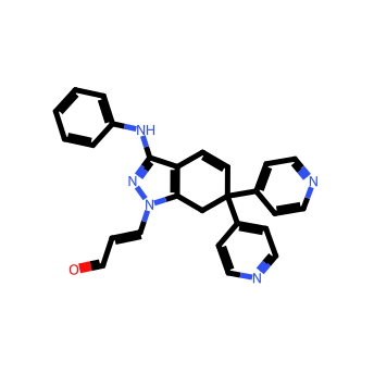 O=CC=Cn1nc(Nc2ccccc2)c2c1CC(c1ccncc1)(c1ccncc1)C=C2